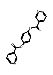 O=C(Oc1ccc(OC(=O)c2cccnc2)cc1)c1cccnc1